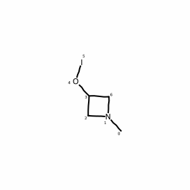 CN1CC(OI)C1